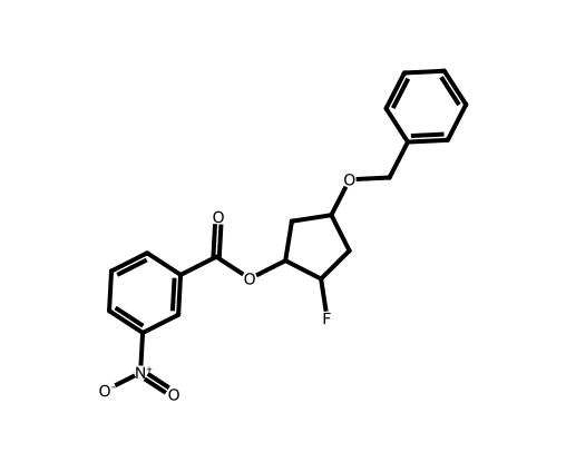 O=C(OC1CC(OCc2ccccc2)CC1F)c1cccc([N+](=O)[O-])c1